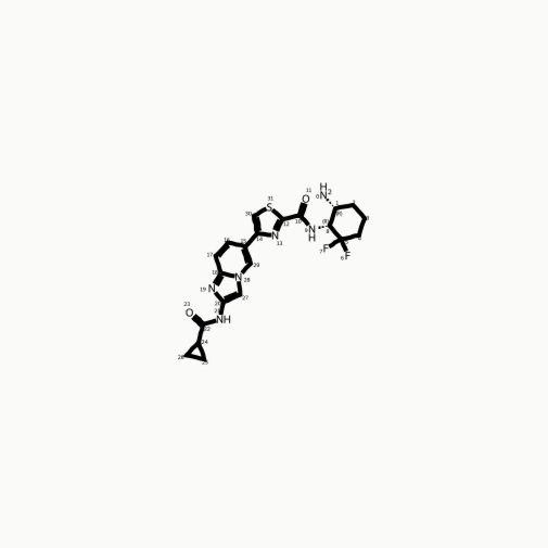 N[C@@H]1CCCC(F)(F)[C@@H]1NC(=O)c1nc(-c2ccc3nc(NC(=O)C4CC4)cn3c2)cs1